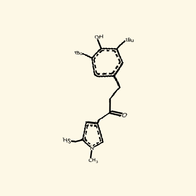 Cn1cc(C(=O)CCc2cc(C(C)(C)C)c(O)c(C(C)(C)C)c2)cc1S